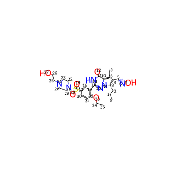 CCCc1c(/C=N/O)c(C)c2c(=O)[nH]c(-c3cc(S(=O)(=O)N4CCN(CCO)CC4)ccc3OCC)nn12